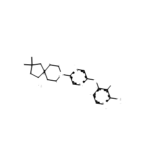 CC1(C)C[C@@H](N)C2(CCN(c3cnc(Sc4ccnc(N)c4Cl)cn3)CC2)C1